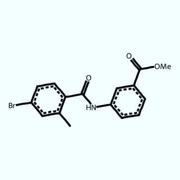 COC(=O)c1cccc(NC(=O)c2ccc(Br)cc2C)c1